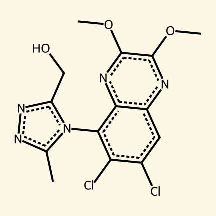 COc1nc2cc(Cl)c(Cl)c(-n3c(C)nnc3CO)c2nc1OC